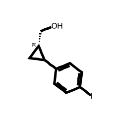 OC[C@H]1CC1c1ccc(I)cc1